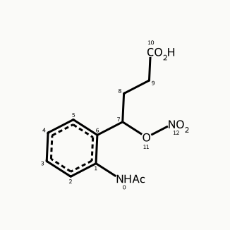 CC(=O)Nc1ccccc1C(CCC(=O)O)O[N+](=O)[O-]